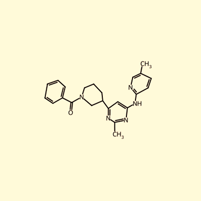 Cc1ccc(Nc2cc(C3CCCN(C(=O)c4ccccc4)C3)nc(C)n2)nc1